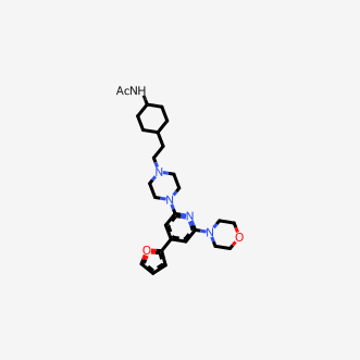 CC(=O)NC1CCC(CCN2CCN(c3cc(-c4ccco4)cc(N4CCOCC4)n3)CC2)CC1